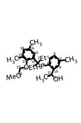 CCC(CC)(Pc1ccc(C)cc1C(C)O)c1cc(C)cc(C)c1OCOC